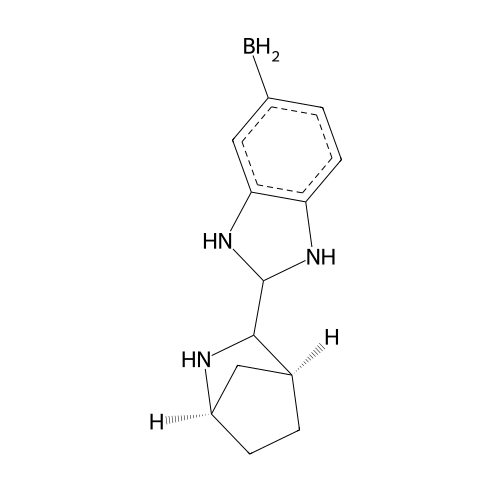 Bc1ccc2c(c1)NC(C1N[C@@H]3CC[C@H]1C3)N2